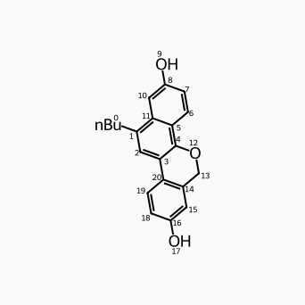 CCCCc1cc2c(c3ccc(O)cc13)OCc1cc(O)ccc1-2